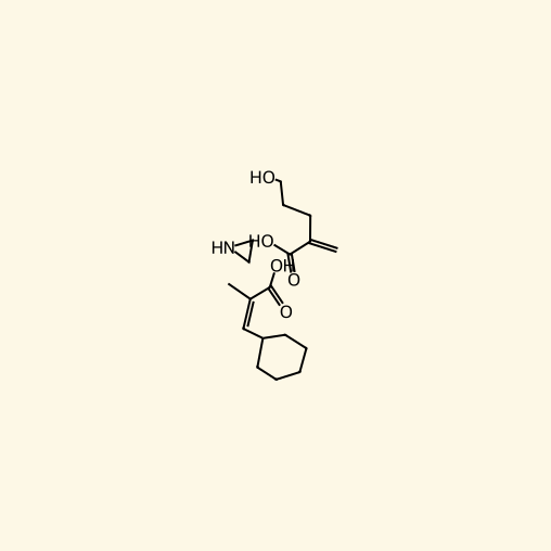 C1CN1.C=C(CCCO)C(=O)O.CC(=CC1CCCCC1)C(=O)O